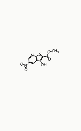 COC(=O)c1sc2ncc([N+](=O)[O-])cc2c1O